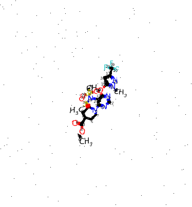 CCOC(=O)C1CCN(c2ncnc(Oc3cc(C(F)(F)F)nn3C)c2N(S(C)(=O)=O)S(C)(=O)=O)CC1